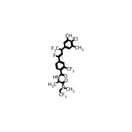 Cc1cc(C(/C=C(\F)c2ccc(C(=O)NC(C)C(=O)N(C)CC(F)(F)F)c(C(F)(F)F)c2)C(F)(F)F)cc(C)c1Cl